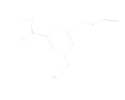 CCCCc1cc([CH]O)cc(C(=O)OC)c1